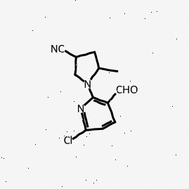 CC1CC(C#N)CN1c1nc(Cl)ccc1C=O